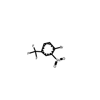 O=[SH](=O)c1cc(C(F)(F)F)ccc1Br